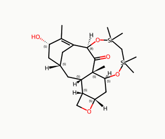 CC1=C2C[C@@H](C[C@@H]1O)C[C@H]1[C@H]3CO[C@H]3C[C@@H]3O[Si](C)(C)C[Si](C)(C)O[C@H]2C(=O)[C@]31C